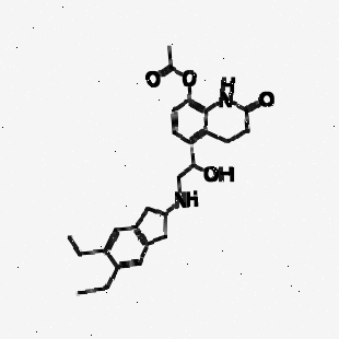 CCc1cc2c(cc1CC)CC(NCC(O)c1ccc(OC(C)=O)c3c1CCC(=O)N3)C2